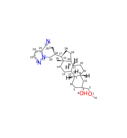 COC[C@@]1(O)CC[C@H]2[C@H](CC[C@@H]3[C@@H]2CC[C@]2(C)[C@@H]([C@H](C)Cn4nccc4C#N)CC[C@@H]32)C1